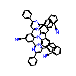 N#Cc1cc(-c2cc(-c3ccccc3)nc(-c3ccccc3)n2)c(-n2c3ccc(-c4ccccc4C#N)cc3c3cc(-c4ccccc4C#N)ccc32)c(-c2nc(-c3ccccc3)cc(-c3ccccc3)n2)c1